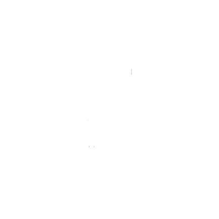 O=PCCS